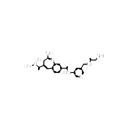 CCCN(CCC)C(=O)C1=Cc2ccc(C(=O)Nc3cncc(CNC(=O)CN)c3)cc2N=C(N)C1